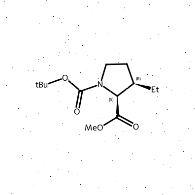 CC[C@@H]1CCN(C(=O)OC(C)(C)C)[C@@H]1C(=O)OC